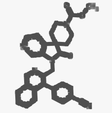 COC(=O)N1CCC2(CC1)C(=O)N(Cc1ncc3ccccc3c1-c1ccc(C#N)cc1)c1cnccc12